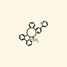 C=C1C[n+]2ccc(-c3ccccn3)cc2-c2ccccc2CCC2c3ccccc3-c3cccc[n+]3C12